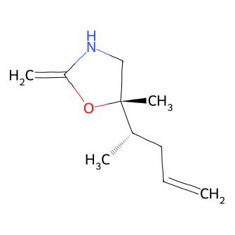 C=CC[C@H](C)[C@@]1(C)CNC(=C)O1